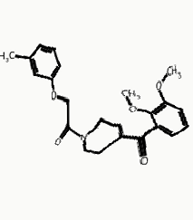 COc1cccc(C(=O)C2CCN(C(=O)COc3cccc(C)c3)CC2)c1OC